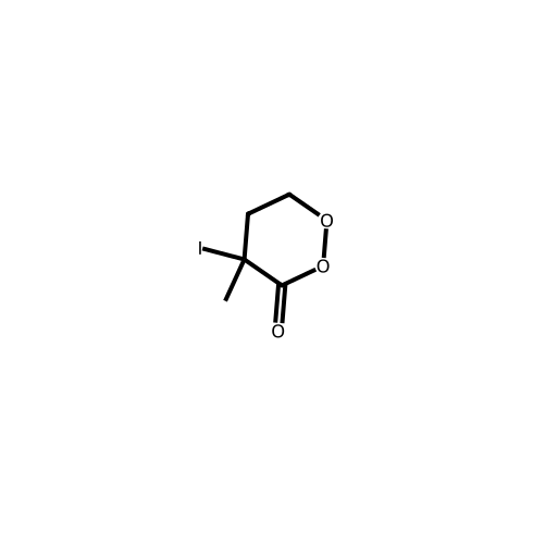 CC1(I)CCOOC1=O